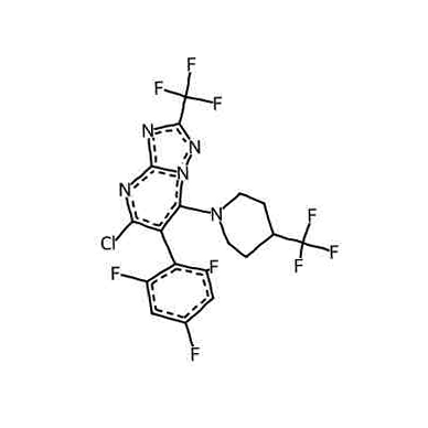 Fc1cc(F)c(-c2c(Cl)nc3nc(C(F)(F)F)nn3c2N2CCC(C(F)(F)F)CC2)c(F)c1